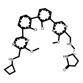 COc1nc(-c2cccc(-c3cccc(-c4cnc(CNC5CCC5)c(OC)n4)c3Cl)c2Cl)cnc1CNC[C@@H]1CCC(=O)N1